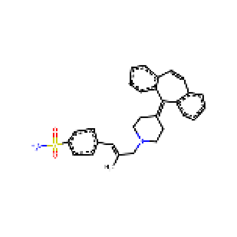 CC(=Cc1ccc(S(N)(=O)=O)cc1)CN1CCC(=C2c3ccccc3C=Cc3ccccc32)CC1